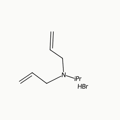 Br.C=CCN(CC=C)C(C)C